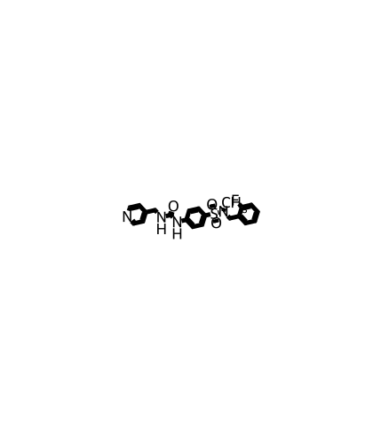 CN(Cc1ccccc1F)S(=O)(=O)c1ccc(NC(=O)NCc2ccncc2)cc1